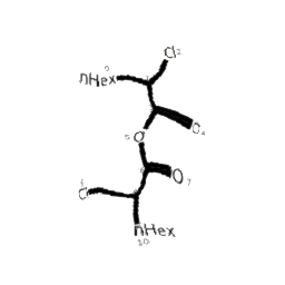 CCCCCCC(Cl)C(=O)OC(=O)C(Cl)CCCCCC